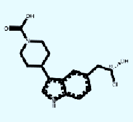 O=C(O)N1CCC(c2c[nH]c3ccc(C[C@H](O)Cl)cc23)CC1